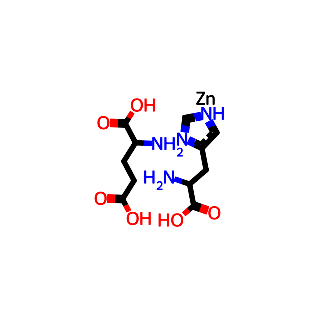 NC(CCC(=O)O)C(=O)O.NC(Cc1c[nH]cn1)C(=O)O.[Zn]